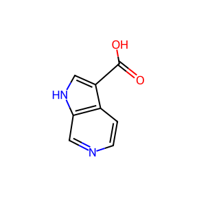 O=C(O)c1c[nH]c2cnccc12